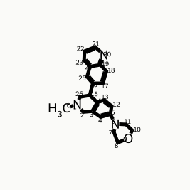 CN1Cc2cc(N3CCOCC3)ccc2C(c2ccc3ncccc3c2)C1